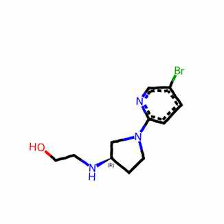 OCCN[C@@H]1CCN(c2ccc(Br)cn2)C1